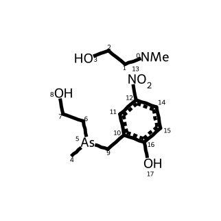 CNCCO.C[As](CCO)Cc1cc([N+](=O)[O-])ccc1O